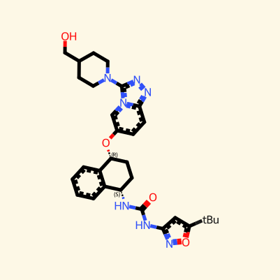 CC(C)(C)c1cc(NC(=O)N[C@H]2CC[C@@H](Oc3ccc4nnc(N5CCC(CO)CC5)n4c3)c3ccccc32)no1